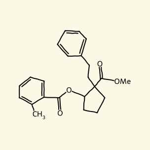 COC(=O)C1(CCc2ccccc2)CCCC1OC(=O)c1ccccc1C